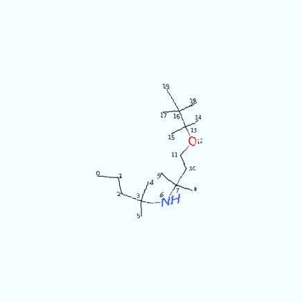 CCCC(C)(C)NC(C)(C)CCOC(C)(C)C(C)(C)C